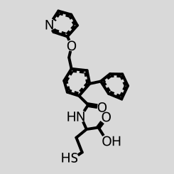 O=C(NC(CCS)C(=O)O)c1ccc(COc2cccnc2)cc1-c1ccccc1